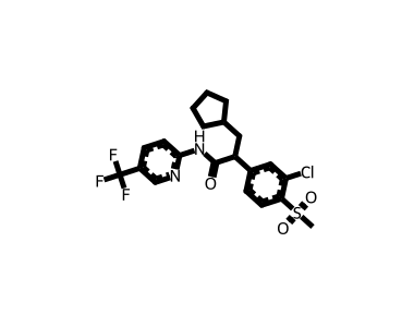 CS(=O)(=O)c1ccc(C(CC2CCCC2)C(=O)Nc2ccc(C(F)(F)F)cn2)cc1Cl